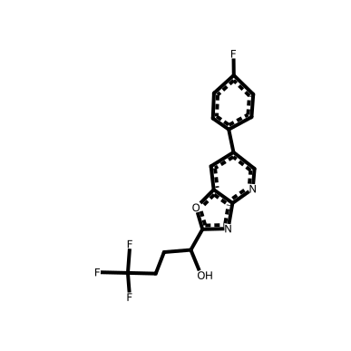 OC(CCC(F)(F)F)c1nc2ncc(-c3ccc(F)cc3)cc2o1